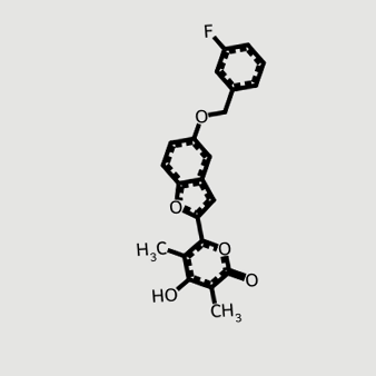 Cc1c(-c2cc3cc(OCc4cccc(F)c4)ccc3o2)oc(=O)c(C)c1O